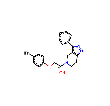 CC(C)c1ccc(OC[C@@H](O)N2CCc3[nH]nc(-c4ccccc4)c3C2)cc1